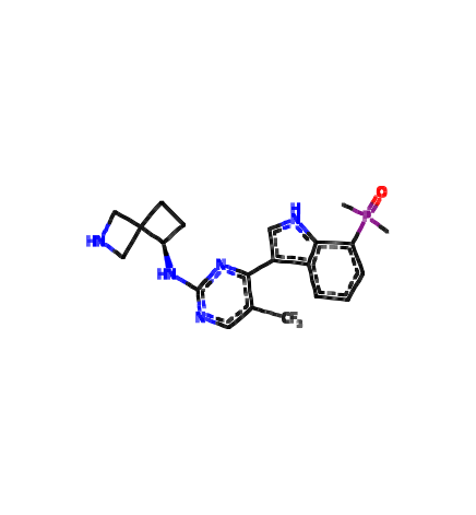 CP(C)(=O)c1cccc2c(-c3nc(N[C@@H]4CCC45CNC5)ncc3C(F)(F)F)c[nH]c12